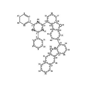 C1=CC(c2nc(-c3ccccc3)nc(-c3cccc4oc5cc(-c6cccc7c6oc6cc8ccccc8cc67)ccc5c34)n2)=CCC1